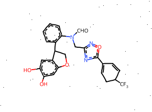 O=CN(Cc1noc(C2=CCC(C(F)(F)F)C=C2)n1)c1ccccc1C1COc2cc(O)c(O)cc21